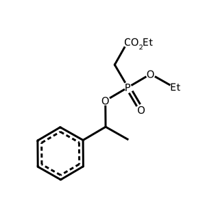 CCOC(=O)CP(=O)(OCC)OC(C)c1ccccc1